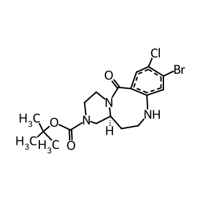 CC(C)(C)OC(=O)N1CCN2C(=O)c3cc(Cl)c(Br)cc3NCC[C@H]2C1